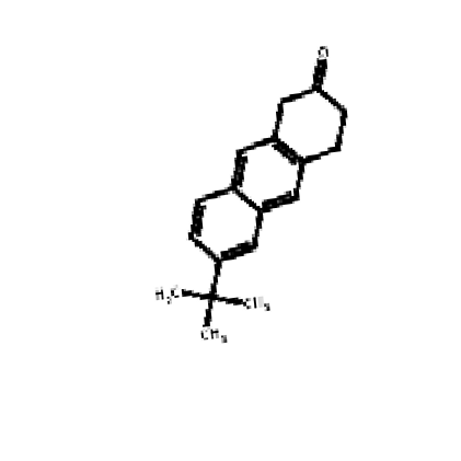 CC(C)(C)c1ccc2cc3c(cc2c1)CCC(=O)C3